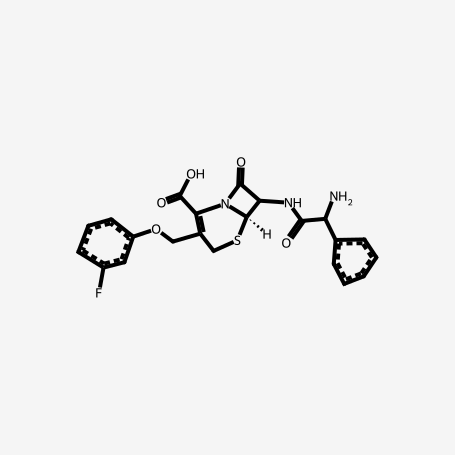 NC(C(=O)NC1C(=O)N2C(C(=O)O)=C(COc3cccc(F)c3)CS[C@H]12)c1ccccc1